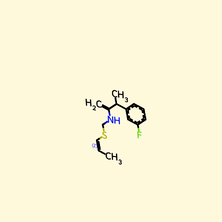 C=C(NCS/C=C\C)C(C)c1cccc(F)c1